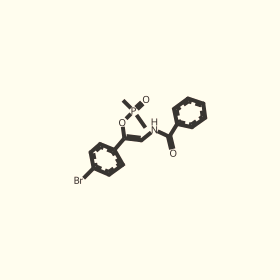 CP(C)(=O)OC(=CNC(=O)c1ccccc1)c1ccc(Br)cc1